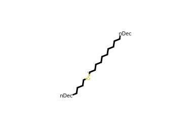 CCCCCCCCCCCCCCCCCCC[CH]SCCCCCCCCCCCCCC